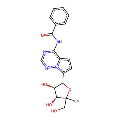 N#CC1(CO)O[C@@H](c2ccc3c(NC(=O)c4ccccc4)ncnn23)[C@H](O)[C@@H]1O